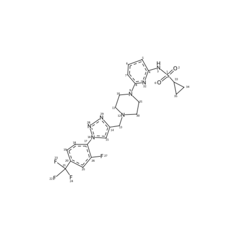 O=S(=O)(Nc1cccc(N2CCN(Cc3cn(-c4ccc(C(F)(F)F)cc4F)nn3)CC2)n1)C1CC1